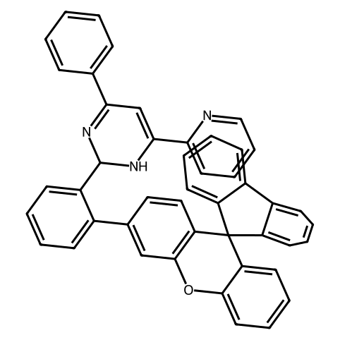 C1=C(c2ccccn2)NC(c2ccccc2-c2ccc3c(c2)Oc2ccccc2C32c3ccccc3-c3ccccc32)N=C1c1ccccc1